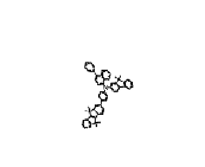 CC1(C)C2=C(c3ccccc31)C(C)(C)c1cc(-c3ccc(N(c4ccc5c(c4)C(C)(C)c4ccccc4-5)c4ccc(-c5ccccc5)c5ccccc45)cc3)ccc12